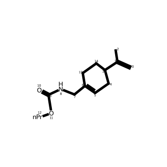 C=C(C)C1CC=C(CNC(=O)OCCC)CC1